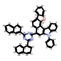 c1ccc(-n2c3ccccc3c3c4c(ccc5c6ccccc6oc54)c(-c4nc(-c5ccc6ccccc6c5)nc(-c5cccc6ccccc56)n4)cc32)cc1